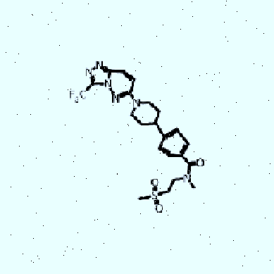 CN(CCS(C)(=O)=O)C(=O)c1ccc(C2CCN(c3ccc4nnc(C(F)(F)F)n4n3)CC2)cc1